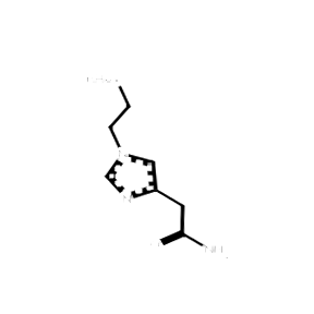 CCCCCCCCn1cnc(CC(N)=O)c1